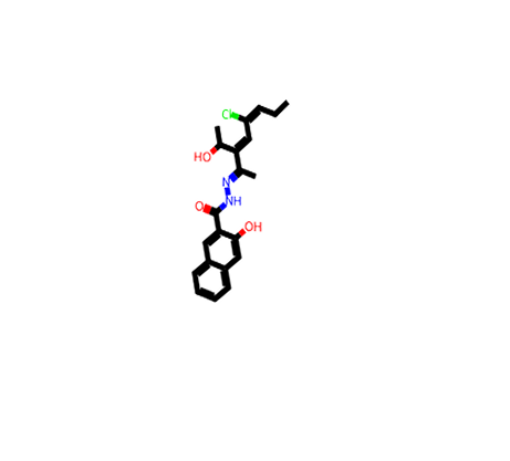 CC\C=C(Cl)/C=C(/C(C)=N/NC(=O)c1cc2ccccc2cc1O)C(C)O